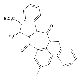 CCOC(=O)CC(C)N1C(=O)c2cc(I)ccc2N(Cc2ccccc2)C(=O)C1c1ccccc1